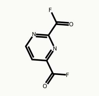 O=C(F)c1ccnc(C(=O)F)n1